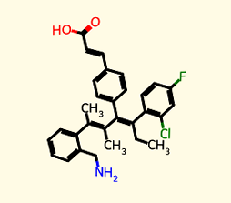 CC/C(=C(\C(C)=C(/C)c1ccccc1CN)c1ccc(/C=C/C(=O)O)cc1)c1ccc(F)cc1Cl